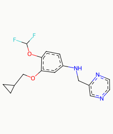 FC(F)Oc1ccc(NCc2cnccn2)cc1OCC1CC1